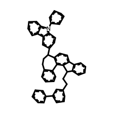 c1ccc(-c2cccc(CCC3c4ccccc4-c4ccc5c(c43)-c3ccccc3CCC5c3ccc4c(c3)c3ccccc3n4-c3ccccc3)c2)cc1